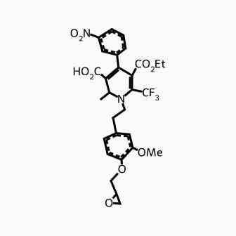 CCOC(=O)C1=C(C(F)(F)F)N(CCc2ccc(OCC3CO3)c(OC)c2)C(C)C(C(=O)O)=C1c1cccc([N+](=O)[O-])c1